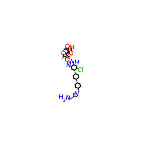 NCC1CN(Cc2ccc(-c3ccc(-c4cc5nc(O[C@@H]6CO[C@H]7[C@@H]6OC[C@H]7O)[nH]c5cc4Cl)cc3)cc2)C1